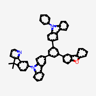 CC1(C)c2ccc(-n3c4ccccc4c4cc(-c5cc(-c6ccc7oc8ccccc8c7c6)cc(-c6ccc7c(c6)c6ccccc6n7-c6ccccc6)c5)ccc43)cc2-c2ncccc21